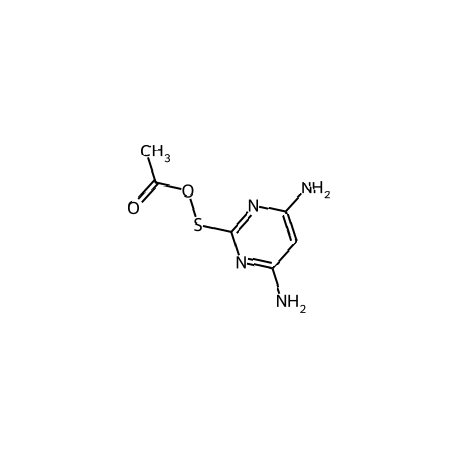 CC(=O)OSc1nc(N)cc(N)n1